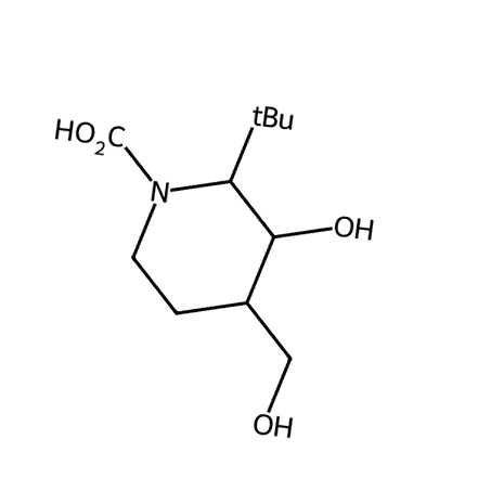 CC(C)(C)C1C(O)C(CO)CCN1C(=O)O